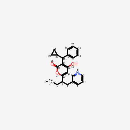 CCC(Cc1cccnc1)c1cc(O)c(C(c2ccccc2)C2CC2)c(=O)o1